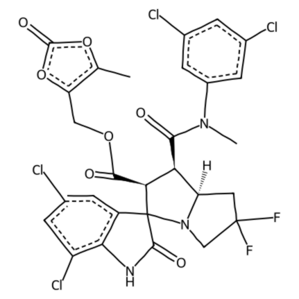 Cc1oc(=O)oc1COC(=O)[C@H]1[C@@H](C(=O)N(C)c2cc(Cl)cc(Cl)c2)[C@H]2CC(F)(F)CN2C12C(=O)Nc1c(Cl)cc(Cl)cc12